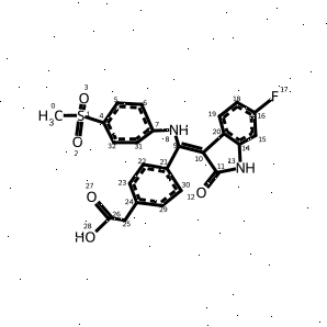 CS(=O)(=O)c1ccc(NC(=C2C(=O)Nc3cc(F)ccc32)c2ccc(CC(=O)O)cc2)cc1